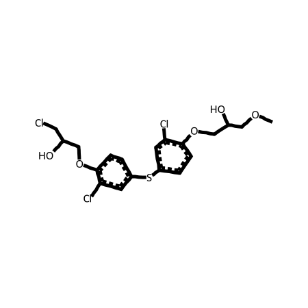 COCC(O)COc1ccc(Sc2ccc(OCC(O)CCl)c(Cl)c2)cc1Cl